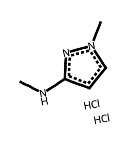 CNc1ccn(C)n1.Cl.Cl